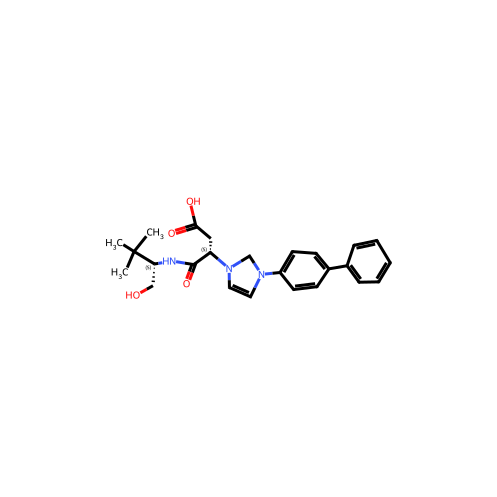 CC(C)(C)[C@@H](CO)NC(=O)[C@H](CC(=O)O)N1C=CN(c2ccc(-c3ccccc3)cc2)C1